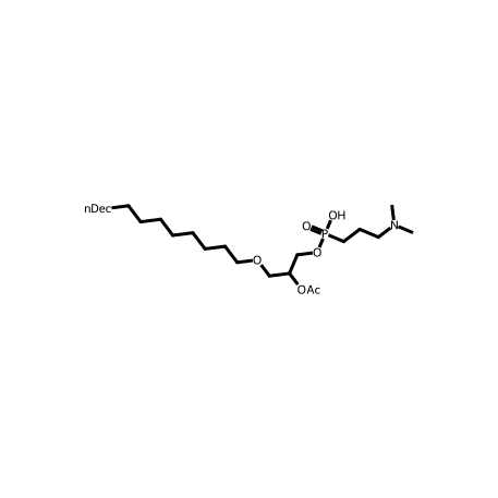 CCCCCCCCCCCCCCCCCCOCC(COP(=O)(O)CCCN(C)C)OC(C)=O